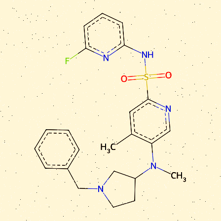 Cc1cc(S(=O)(=O)Nc2cccc(F)n2)ncc1N(C)C1CCN(Cc2ccccc2)C1